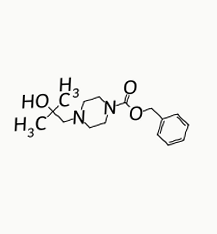 CC(C)(O)CN1CCN(C(=O)OCc2ccccc2)CC1